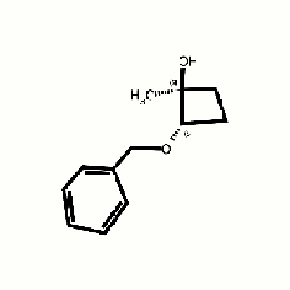 C[C@]1(O)CC[C@@H]1OCc1ccccc1